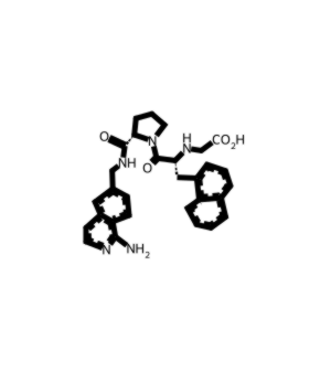 Nc1nccc2cc(CNC(=O)[C@@H]3CCCN3C(=O)[C@@H](Cc3cccc4ccccc34)NCC(=O)O)ccc12